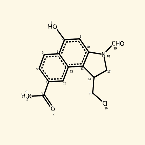 NC(=O)c1ccc2c(O)cc3c(c2c1)C(CCl)CN3C=O